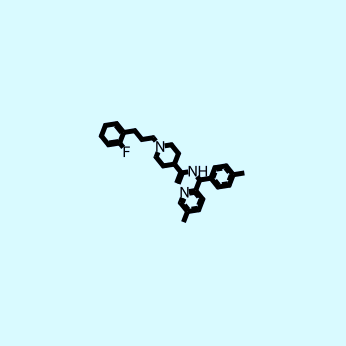 C=C(NC(c1ccc(C)cc1)c1ccc(C)cn1)C1CCN(CCCC2=CCCC=C2F)CC1